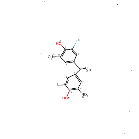 Cc1cc(C(c2cc(F)c(O)c([N+](=O)[O-])c2)C(F)(F)F)cc([N+](=O)[O-])c1O